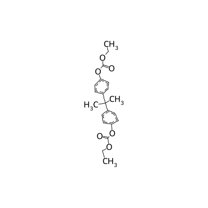 CCOC(=O)Oc1ccc(C(C)(C)c2ccc(OC(=O)OCC)cc2)cc1